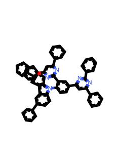 c1ccc(-c2ccc3c(c2)c2cc(-c4ccccc4)ccc2n3-c2ccc(-c3cc(-c4ccccc4)nc(-c4ccccc4)n3)cc2-c2nc(-c3ccccc3)cc(-c3ccccc3)n2)cc1